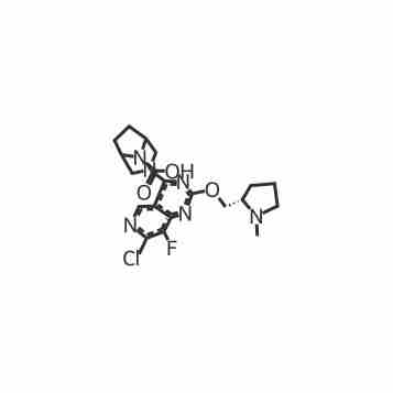 CN1CCC[C@H]1COc1nc(N2CC3CCC(C2)N3C(=O)O)c2cnc(Cl)c(F)c2n1